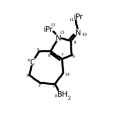 BC1CCCCC2=C(C/C(=N/C(C)C)N2C(C)C)C1